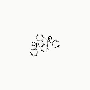 O=P1(c2ccccc2)c2cccc3c2-c2c1cccc2P3(=O)c1ccccc1